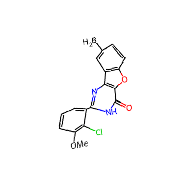 Bc1ccc2oc3c(=O)[nH]c(-c4cccc(OC)c4Cl)nc3c2c1